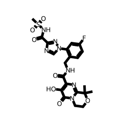 CC1(C)OCCn2c1nc(C(=O)NCc1ccc(F)cc1-n1cnc(C(=O)NS(C)(=O)=O)n1)c(O)c2=O